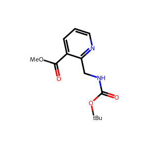 COC(=O)c1cccnc1CNC(=O)OC(C)(C)C